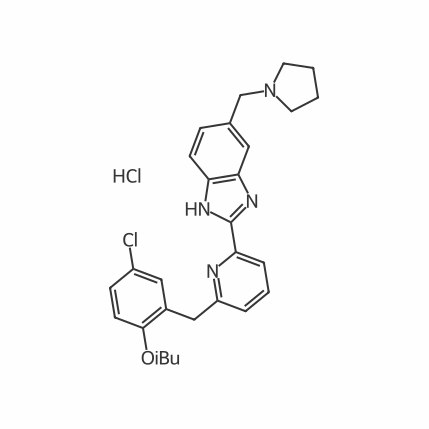 CC(C)COc1ccc(Cl)cc1Cc1cccc(-c2nc3cc(CN4CCCC4)ccc3[nH]2)n1.Cl